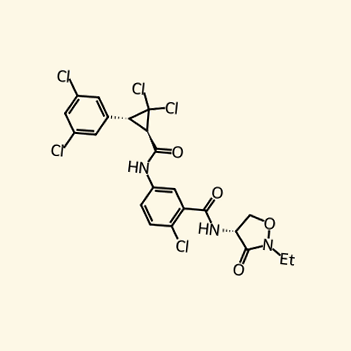 CCN1OC[C@@H](NC(=O)c2cc(NC(=O)[C@H]3[C@H](c4cc(Cl)cc(Cl)c4)C3(Cl)Cl)ccc2Cl)C1=O